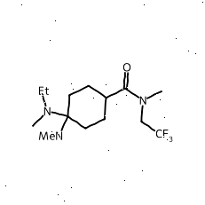 CCN(C)C1(NC)CCC(C(=O)N(C)CC(F)(F)F)CC1